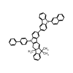 CC1(C)C2=Cc3c(n(-c4ccc(-c5ccccc5)cc4)c4ccc(-c5ccc6c(c5)c5ccccc5n6-c5ccc6ccccc6c5)cc34)CC2(C)c2ccccc21